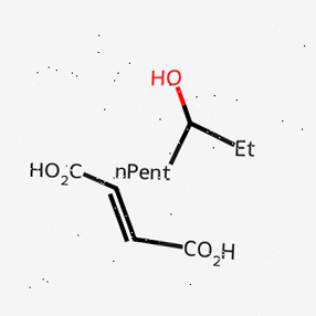 CCCCCC(O)CC.O=C(O)C=CC(=O)O